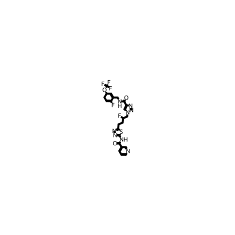 O=C(Nc1nnc(CCC(F)Cn2cc(C(=O)NCC3=CC(OC(F)(F)F)CC=C3F)nn2)s1)c1cccnc1